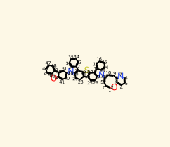 c1coc2cccnc2ccc(-n2c3ccccc3c3c4sc5c(c4ccc32)CCc2c-5c3ccccc3n2-c2ccc3oc4ccccc4c3c2)c1